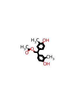 CC(=O)OCC(c1ccc(O)c(C)c1)c1ccc(O)c(C)c1